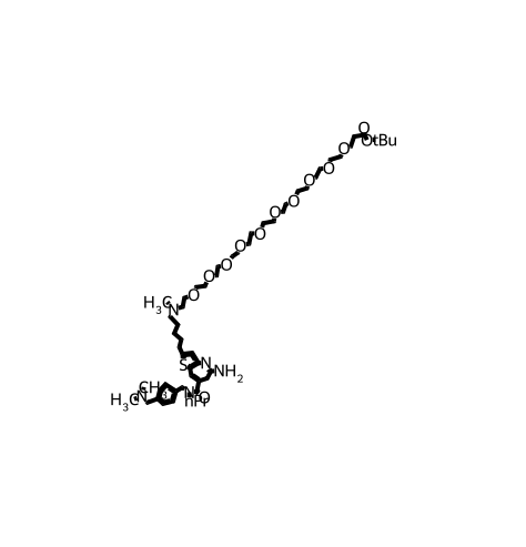 CCCN(Cc1ccc(CN(C)C)cc1)C(=O)C1=Cc2sc(CCCCCN(C)CCOCCOCCOCCOCCOCCOCCOCCOCCOCCOCCC(=O)OC(C)(C)C)cc2N=C(N)C1